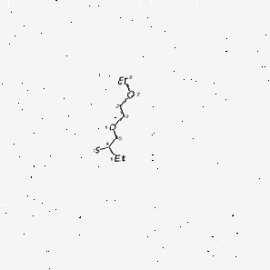 CCOCCOCC([S])CC